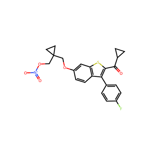 O=C(c1sc2cc(OCC3(CO[N+](=O)[O-])CC3)ccc2c1-c1ccc(F)cc1)C1CC1